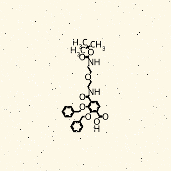 CC(C)(C)OC(=O)NCCOCCNC(=O)c1ccc(C(=O)O)c(OCc2ccccc2)c1OCc1ccccc1